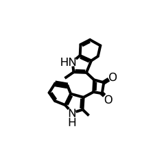 Cc1[nH]c2c(c1-c1c(-c3c(C)[nH]c4ccc#cc34)c(=O)c1=O)CCC=C2